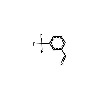 FC(F)(F)c1cccc(C=S)c1